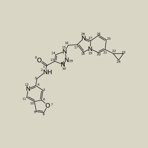 O=C(NCc1cc2occc2cn1)c1cn(Cc2cn3cc(C4CC4)ccc3n2)nn1